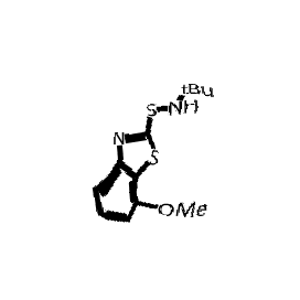 COc1cccc2nc(SNC(C)(C)C)sc12